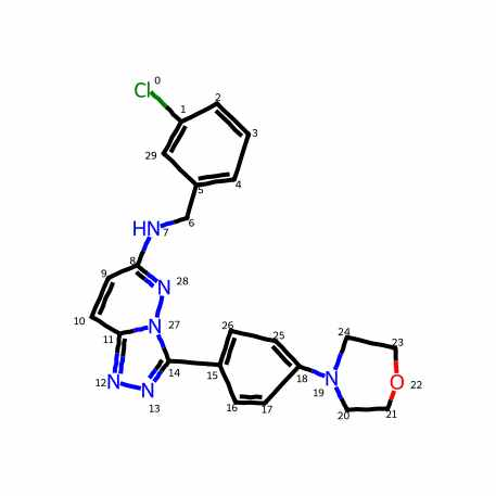 Clc1cccc(CNc2ccc3nnc(-c4ccc(N5CCOCC5)cc4)n3n2)c1